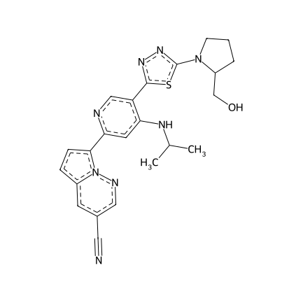 CC(C)Nc1cc(-c2ccc3cc(C#N)cnn23)ncc1-c1nnc(N2CCCC2CO)s1